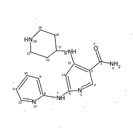 NC(=O)c1cnc(Nc2ccccn2)cc1NC1CCNCC1